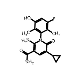 Cc1c(O)cc(F)c(C)c1-n1c(N)c(C(N)=O)cc(C2CC2)c1=O